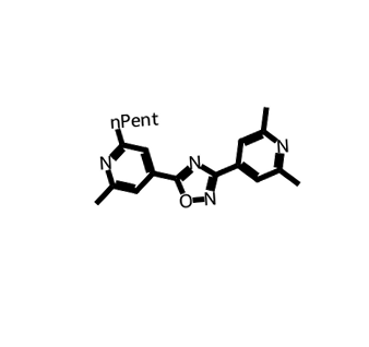 CCCCCc1cc(-c2nc(-c3cc(C)nc(C)c3)no2)cc(C)n1